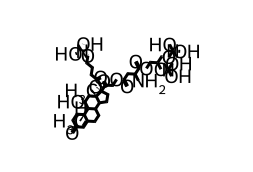 C[C@]12CCC(=O)C=C1CCC1C3CC[C@](OC(=O)CCCON(O)O)(C(=O)COC(=O)CC(N)C(=O)OCC(CON(O)O)ON(O)O)[C@@]3(C)C[C@H](O)[C@@H]12